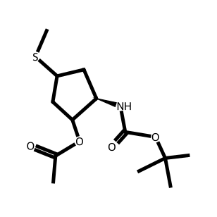 CSC1CC(OC(C)=O)[C@H](NC(=O)OC(C)(C)C)C1